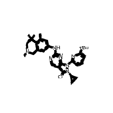 Cc1cc(Nc2ncc3c(=O)n(C4CC4)n(-c4cccc(C(C)(C)C)n4)c3n2)cc2c1C(C)(C)CN(C)C2